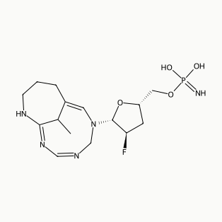 CC1/C2=C\N([C@@H]3O[C@H](COP(=N)(O)O)C[C@H]3F)C/N=C\N=C/1NCCC2